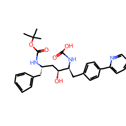 CC(C)(C)OC(=O)N[C@@H](Cc1ccccc1)C[C@H](O)[C@H](Cc1ccc(-c2ccccn2)cc1)NC(=O)O